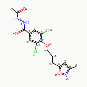 CC(=O)NNC(=O)c1cc(Cl)c(OCCCc2cc(C)no2)c(Cl)c1